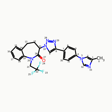 Cc1cn(-c2ccc(-c3cn(C4CCc5ccccc5N(CC(F)(F)F)C4=O)nn3)cc2)cn1